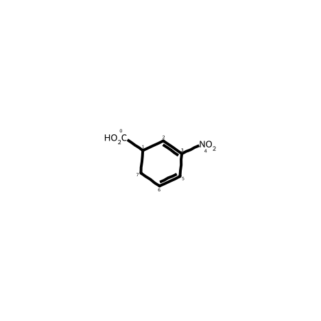 O=C(O)C1C=C([N+](=O)[O-])C=CC1